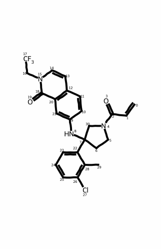 C=CC(=O)N1CCC(Nc2ccc3ccn(CC(F)(F)F)c(=O)c3c2)(c2cccc(Cl)c2C)C1